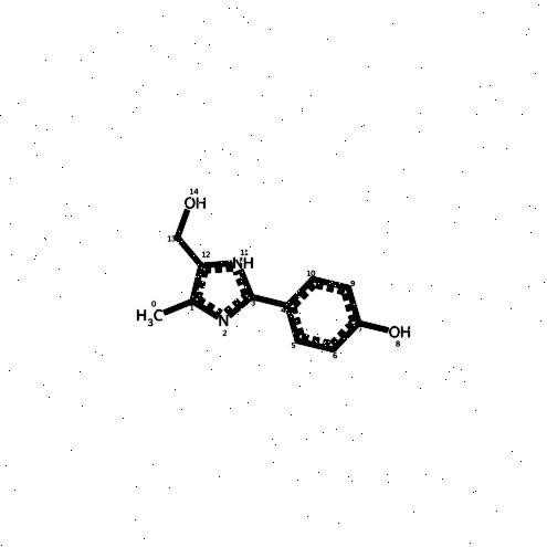 Cc1nc(-c2ccc(O)cc2)[nH]c1CO